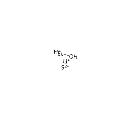 CCO.[H+].[Li+].[S-2]